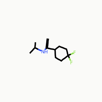 C=C(NC(C)C)C1CCC(F)(F)CC1